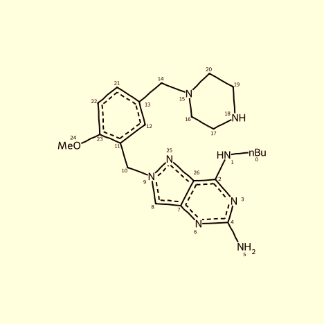 CCCCNc1nc(N)nc2cn(Cc3cc(CN4CCNCC4)ccc3OC)nc12